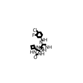 N=C/C(=N\Nc1ccc(Cl)c(F)c1)C(=O)NC1(C2CCC2)NC(=O)NC1O